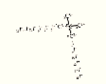 [C+3][Fe]([C+3])([C+3])[C+3].[I-].[I-].[I-].[I-].[I-].[I-].[I-].[I-].[I-].[I-].[I-].[I-]